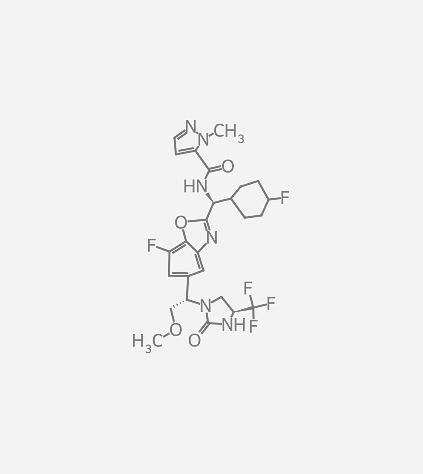 COC[C@H](c1cc(F)c2oc([C@@H](NC(=O)c3ccnn3C)C3CCC(F)CC3)nc2c1)N1C[C@@H](C(F)(F)F)NC1=O